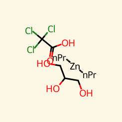 CC[CH2][Zn][CH2]CC.O=C(O)C(Cl)(Cl)Cl.OCC(O)CO